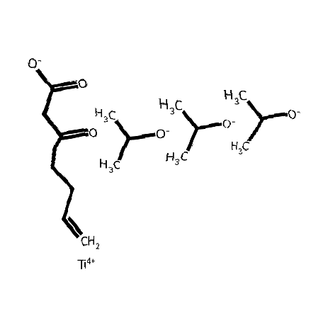 C=CCCC(=O)CC(=O)[O-].CC(C)[O-].CC(C)[O-].CC(C)[O-].[Ti+4]